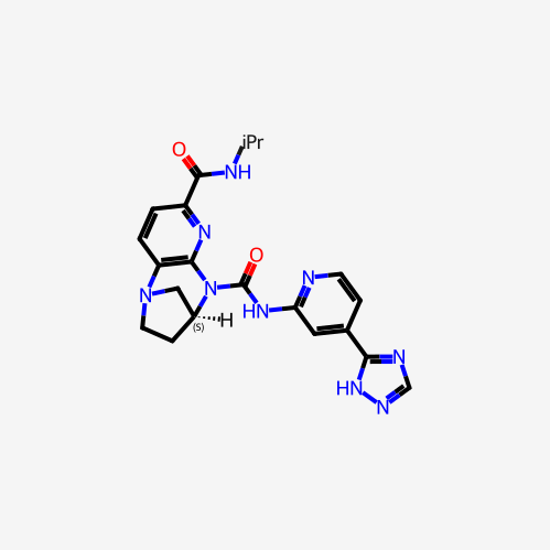 CC(C)NC(=O)c1ccc2c(n1)N(C(=O)Nc1cc(-c3ncn[nH]3)ccn1)[C@H]1CCN2C1